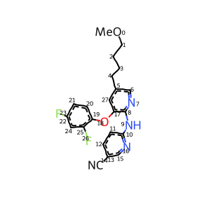 COCCCCc1cnc(Nc2ccc(C#N)cn2)c(Oc2ccc(F)cc2F)c1